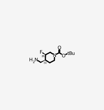 CC(C)(C)OC(=O)N1CC[C@@H](CN)[C@@H](F)C1